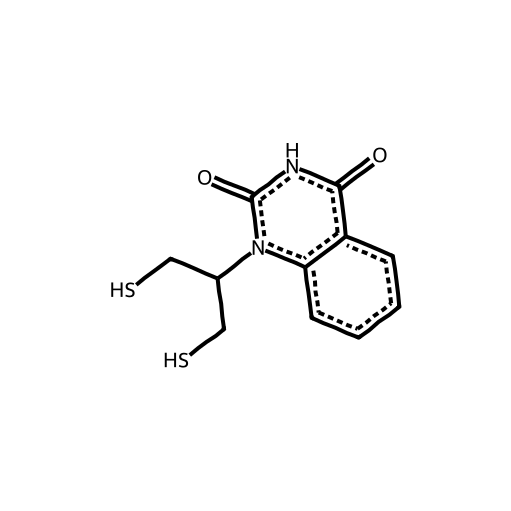 O=c1[nH]c(=O)n(C(CS)CS)c2ccccc12